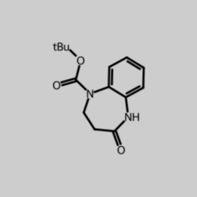 CC(C)(C)OC(=O)N1CCC(=O)Nc2ccccc21